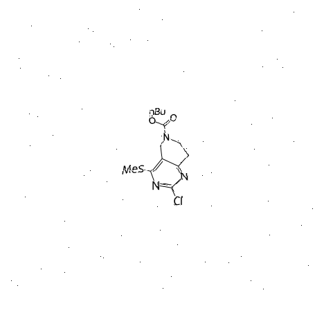 CCCCOC(=O)N1CCc2nc(Cl)nc(SC)c2C1